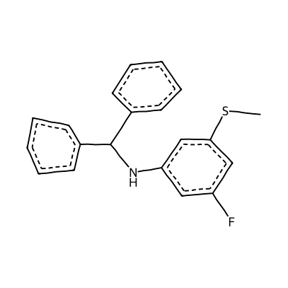 CSc1cc(F)cc(NC(c2ccccc2)c2ccccc2)c1